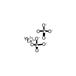 O=P([O-])([O-])[O-].O=P([O-])([O-])[O-].[La+3].[Yb+3]